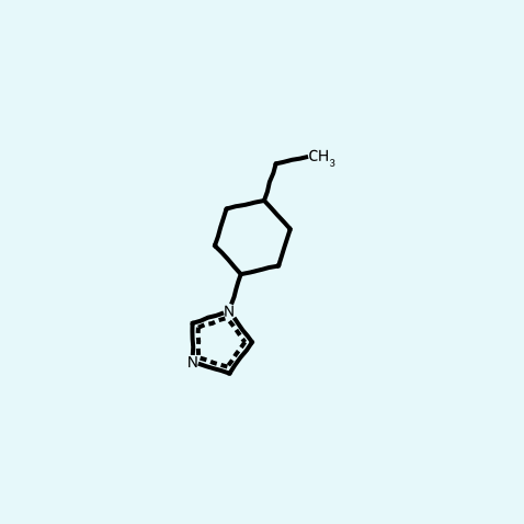 CCC1CCC(n2ccnc2)CC1